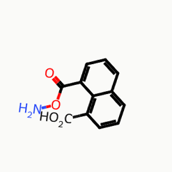 NOC(=O)c1cccc2cccc(C(=O)O)c12